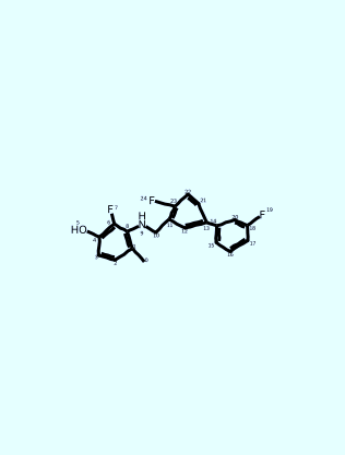 Cc1ccc(O)c(F)c1NCc1cc(-c2cccc(F)c2)ccc1F